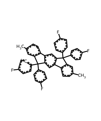 Cc1ccc2c(c1)C(c1ccc(F)cc1)(c1ccc(F)cc1)c1cc3c(cc1-2)C(c1ccc(F)cc1)(c1ccc(F)cc1)c1cc(C)ccc1-3